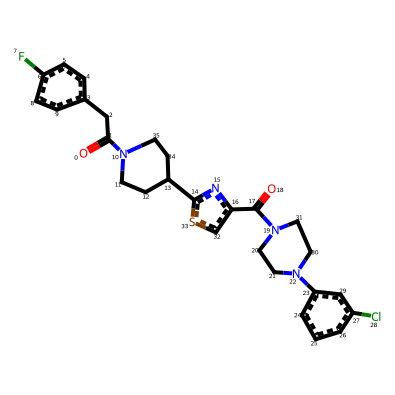 O=C(Cc1ccc(F)cc1)N1CCC(c2nc(C(=O)N3CCN(c4cccc(Cl)c4)CC3)cs2)CC1